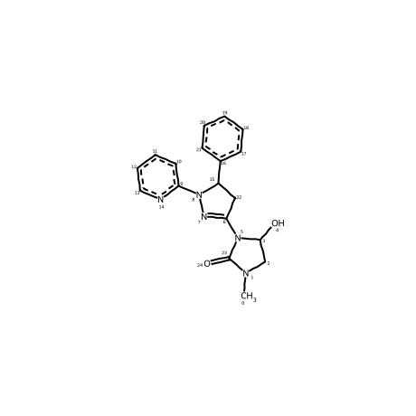 CN1CC(O)N(C2=NN(c3ccccn3)C(c3ccccc3)C2)C1=O